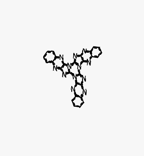 c1ccc2nc3c(nc2c1)nc1n3c2nc3nc4ccccc4nc3n2c2nc3nc4ccccc4nc3n12